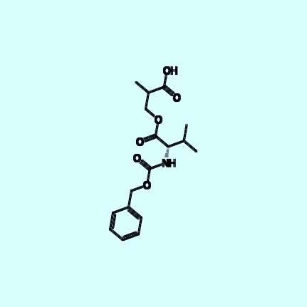 CC(COC(=O)[C@@H](NC(=O)OCc1ccccc1)C(C)C)C(=O)O